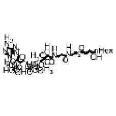 CCCCCCC(O)CCC(=O)SCCNC(=O)CCNC(=O)[C@H](O)C(C)(C)COP(=O)(O)OP(=O)(O)OC[C@H]1O[C@@H](n2cnc3c(N)ncnc32)[C@H](O)[C@@H]1OP(=O)(O)O